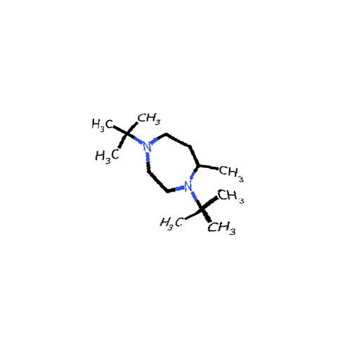 CC1CCN(C(C)(C)C)CCN1C(C)(C)C